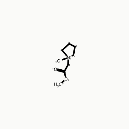 COC(=O)C[N+]1([O-])CCCC1